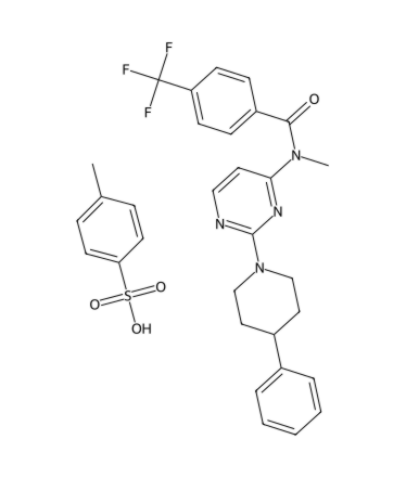 CN(C(=O)c1ccc(C(F)(F)F)cc1)c1ccnc(N2CCC(c3ccccc3)CC2)n1.Cc1ccc(S(=O)(=O)O)cc1